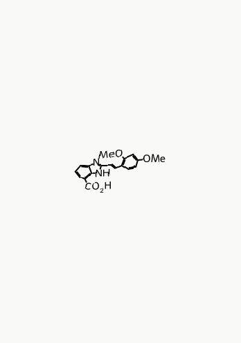 COc1ccc(C=Cc2nc3cccc(C(=O)O)c3[nH]2)c(OC)c1